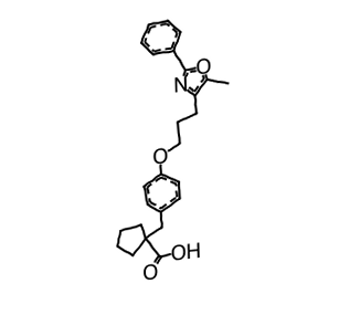 Cc1oc(-c2ccccc2)nc1CCCOc1ccc(CC2(C(=O)O)CCCC2)cc1